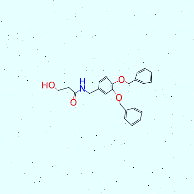 O=C(CCO)NCc1ccc(OCc2ccccc2)c(OCc2ccccc2)c1